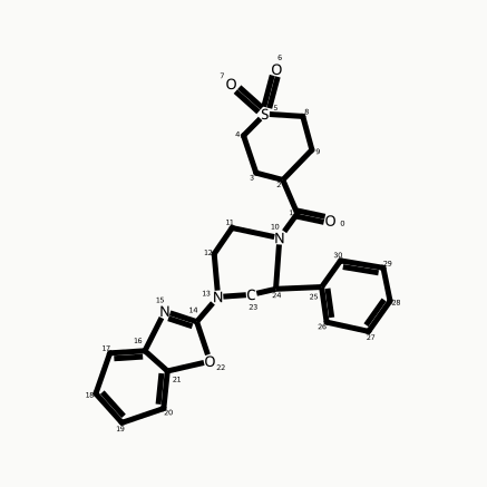 O=C(C1CCS(=O)(=O)CC1)N1CCN(c2nc3ccccc3o2)CC1c1ccccc1